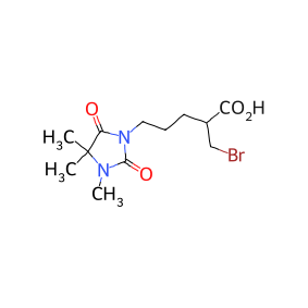 CN1C(=O)N(CCCC(CBr)C(=O)O)C(=O)C1(C)C